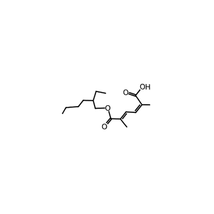 CCCCC(CC)COC(=O)C(C)=CC=C(C)C(=O)O